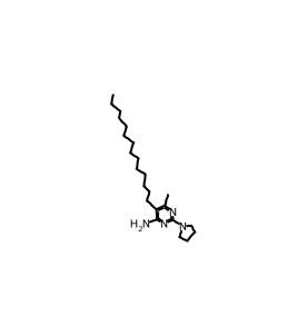 CCCCCCCCCCCCCCc1c(C)nc(N2CCCC2)nc1N